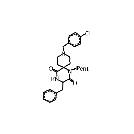 CCCC(C)N1C(=O)C(Cc2ccccc2)NC(=O)C12CCN(Cc1ccc(Cl)cc1)CC2